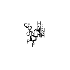 Cl.N[C@H]1CN(C(=O)OCC(F)(F)F)c2cc(F)c(F)cc2NC1=O